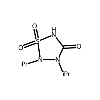 CC(C)N1C(=O)NS(=O)(=O)N1C(C)C